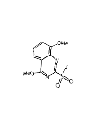 COc1nc(S(=O)(=O)I)nc2c(OC)cccc12